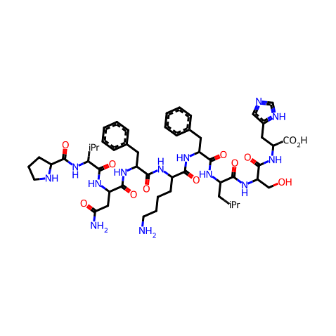 CC(C)CC(NC(=O)C(Cc1ccccc1)NC(=O)C(CCCCN)NC(=O)C(Cc1ccccc1)NC(=O)C(CC(N)=O)NC(=O)C(NC(=O)C1CCCN1)C(C)C)C(=O)NC(CO)C(=O)NC(Cc1cnc[nH]1)C(=O)O